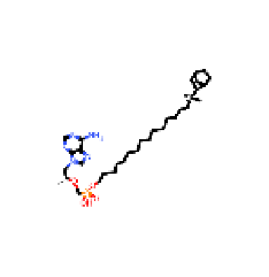 C[C@H](Cn1cnc2c(N)ncnc21)OCP(=O)(O)OCCCCCCCCCCCCCCC[Si](C)(C)C1CC2CCC1C2